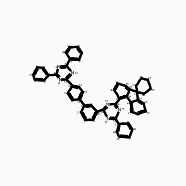 c1ccc(-c2nc(-c3ccccc3)nc(-c3ccc(-c4cccc(-c5nc(-c6ccccc6)nc(-c6cccc7c6-c6ccccc6C76CCCCC6)n5)c4)cc3)n2)cc1